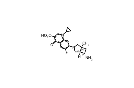 C[C@@]12C[C@H](N)[C@@H]1CN(c1nc3c(cc1F)c(=O)c(C(=O)O)cn3C1CC1)C2